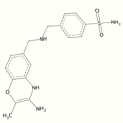 CC1=C(N)Nc2cc(CNCc3ccc(S(N)(=O)=O)cc3)ccc2O1